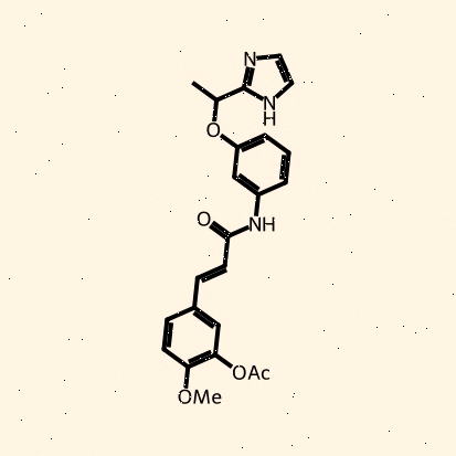 COc1ccc(C=CC(=O)Nc2cccc(OC(C)c3ncc[nH]3)c2)cc1OC(C)=O